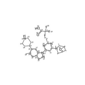 Cc1nc(N2CC3CC(C2)O3)cc(-n2ncc3cc(C)c(C4CCNCC4)cc32)n1.O=C(O)C(F)(F)F